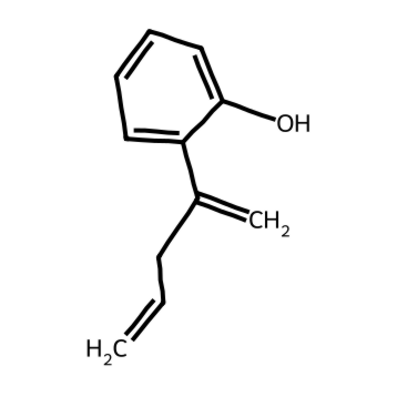 C=CCC(=C)c1ccccc1O